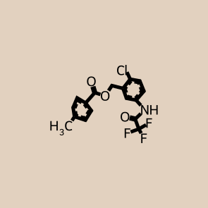 Cc1ccc(C(=O)OCc2cc(NC(=O)C(F)(F)F)ccc2Cl)cc1